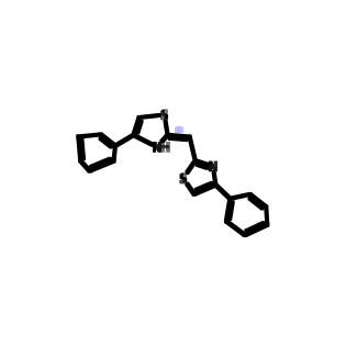 C1=C(c2ccccc2)N/C(=C\c2nc(-c3ccccc3)cs2)S1